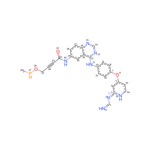 N=C/N=c1/cc(Oc2ccc(Nc3ncnc4ccc(NC(=O)C#CCOPI)cc34)cc2)cc[nH]1